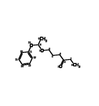 CCC(=O)CCCOC(C)Oc1ccccc1